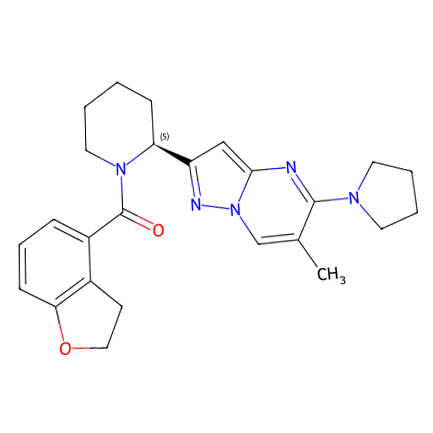 Cc1cn2nc([C@@H]3CCCCN3C(=O)c3cccc4c3CCO4)cc2nc1N1CCCC1